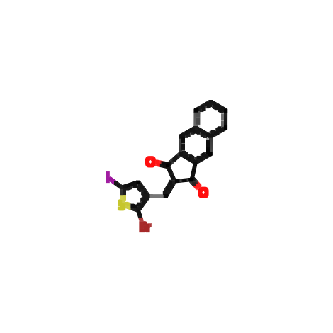 O=C1C(=Cc2cc(I)sc2Br)C(=O)c2cc3ccccc3cc21